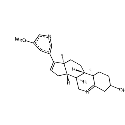 COc1cncc(C2=CC[C@H]3[C@@H]4CN=C5CC(O)CC[C@]5(C)[C@H]4CC[C@]23C)c1